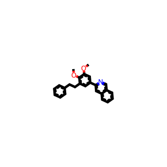 COc1cc(-c2cc3ccccc3cn2)cc(CCc2ccccc2)c1OC